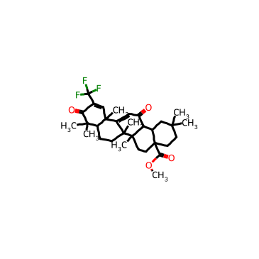 COC(=O)C12CCC(C)(C)CC1C1C(=O)C=C3C4(C)C=C(C(F)(F)F)C(=O)C(C)(C)C4CCC3(C)C1(C)CC2